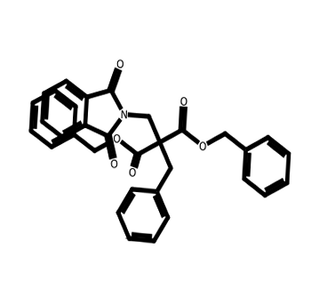 O=C1c2ccccc2C(=O)N1CC(Cc1cc[c]cc1)(C(=O)OCc1ccccc1)C(=O)OCc1ccccc1